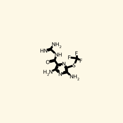 N=C(N)NC(=O)c1nc(SC(F)(F)F)c(N)nc1N